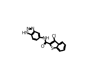 O=C(Nc1ccc2[nH]nnc2c1)c1sc2ccccc2c1Cl